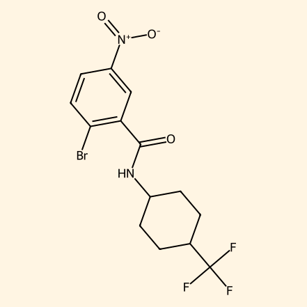 O=C(NC1CCC(C(F)(F)F)CC1)c1cc([N+](=O)[O-])ccc1Br